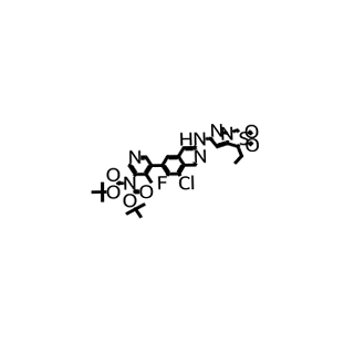 CCC1c2cc(Nc3cc4cc(-c5cncc(N(C(=O)OC(C)(C)C)C(=O)OC(C)(C)C)c5C)c(F)c(Cl)c4cn3)nn2CS1(=O)=O